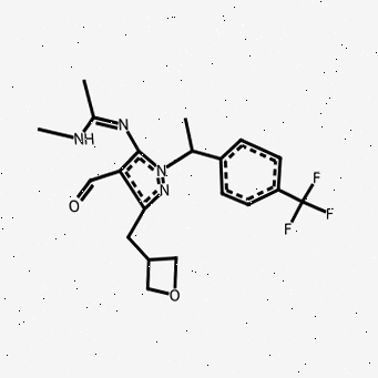 CN/C(C)=N\c1c(C=O)c(CC2COC2)nn1C(C)c1ccc(C(F)(F)F)cc1